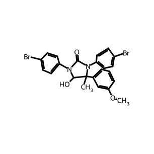 COc1cccc(C2(C)C(O)N(c3ccc(Br)cc3)C(=O)N2c2ccc(Br)cc2)c1